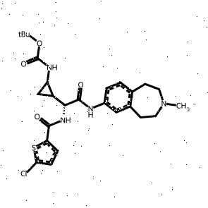 CN1CCc2ccc(NC(=O)[C@H](NC(=O)c3ccc(Cl)s3)C3CC3NC(=O)OC(C)(C)C)cc2CC1